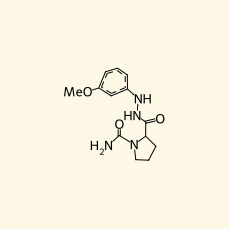 COc1cccc(NNC(=O)C2CCCN2C(N)=O)c1